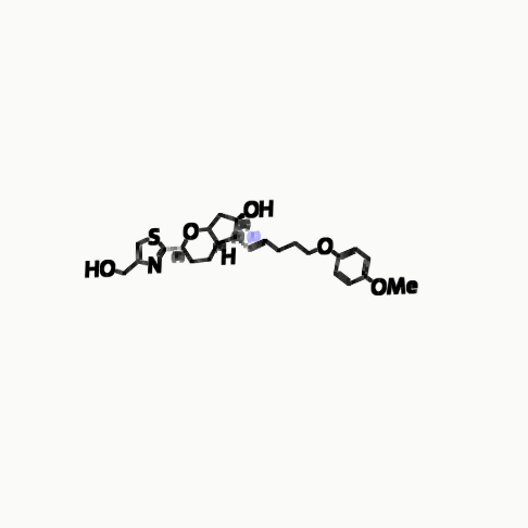 COc1ccc(OCCC/C=C/[C@H]2[C@H](O)CC3O[C@@H](c4nc(CO)cs4)CC[C@@H]32)cc1